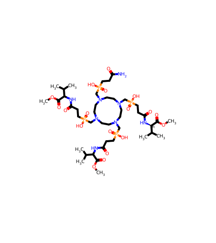 COC(=O)C(NC(=O)CCP(=O)(O)CN1CCN(CP(=O)(O)CCC(N)=O)CCN(CP(=O)(O)CCC(=O)N[C@@H](C(=O)OC)C(C)C)CCN(CP(=O)(O)CCC(=O)NC(C(=O)OC)C(C)C)CC1)C(C)C